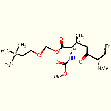 CN[C@@H](CC(C)C)C(=O)C[C@H](C)[C@H](NC(=O)OC(C)(C)C)C(=O)OCOCC[Si](C)(C)C